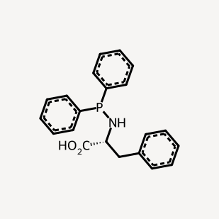 O=C(O)[C@@H](Cc1ccccc1)NP(c1ccccc1)c1ccccc1